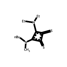 CCCCN(C)c1c(N(CC)CC)c(=S)c1=S